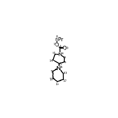 CCCOC(=O)N1CCC(N2CCCCC2)CC1